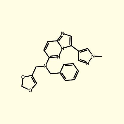 Cn1cc(-c2cnc3ccc(N(CC4=COCO4)Cc4ccccc4)nn23)cn1